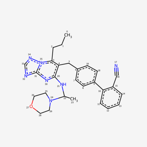 CCCc1c(Cc2ccc(-c3ccccc3C#N)cc2)c(NC(C)N2CCOCC2)nc2ncnn12